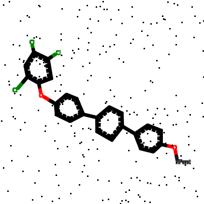 CCCCCOc1ccc(-c2ccc(-c3ccc(Oc4cc(Cl)c(Cl)cc4Cl)cc3)cc2)cc1